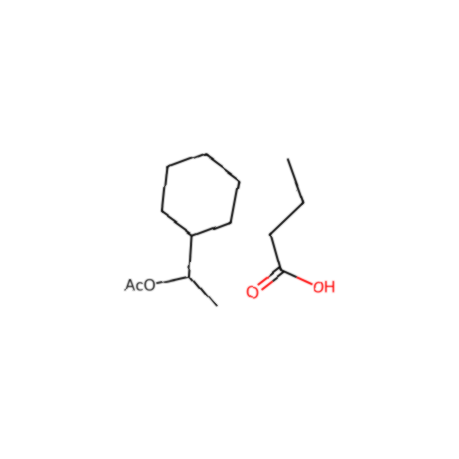 CC(=O)OC(C)C1CCCCC1.CCCC(=O)O